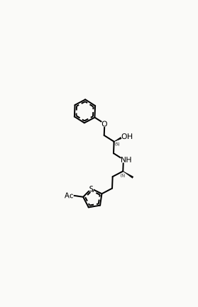 CC(=O)c1ccc(CC[C@H](C)NC[C@H](O)COc2ccccc2)s1